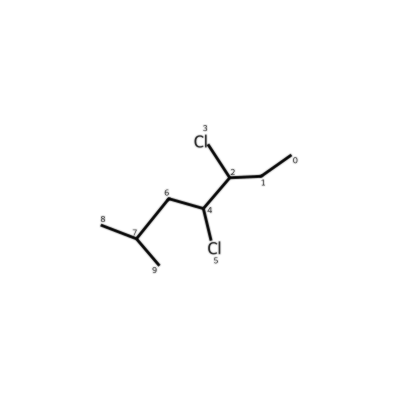 CCC(Cl)C(Cl)CC(C)C